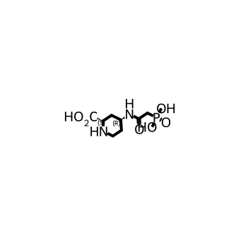 O=C(CP(=O)(O)O)N[C@@H]1CCN[C@H](C(=O)O)C1